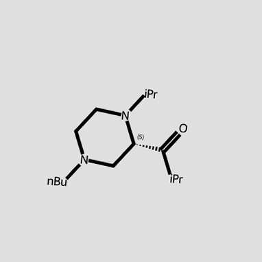 CCCCN1CCN(C(C)C)[C@H](C(=O)C(C)C)C1